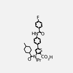 CC1CCC(C(=O)N(c2cc(-c3ccc(NC(=O)c4ccc(F)cc4)cc3)sc2C(=O)O)C(C)C)CC1